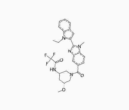 CCn1c(-c2nc3cc(C(=O)N4CC(NC(=O)C(F)(F)F)C[C@@H](OC)C4)ccc3n2C)cc2ccccc21